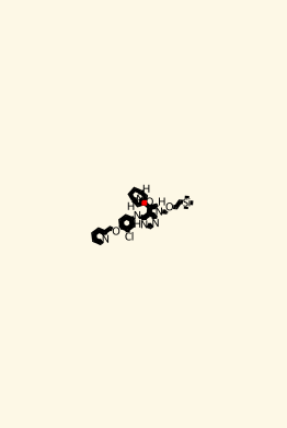 C[Si](C)(C)CCOCn1cc(C2C[C@H]3CC[C@@H](C2)N3C(=O)O)c2c(Nc3ccc(OCc4ccccn4)c(Cl)c3)ncnc21